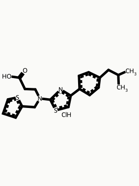 CC(C)Cc1ccc(-c2csc(N(CCC(=O)O)Cc3cccs3)n2)cc1.Cl